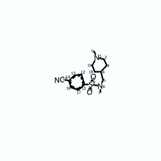 CN1CCC(CN(C)S(=O)(=O)c2ccc(C#N)cc2)CC1